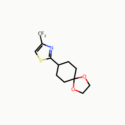 FC(F)(F)c1csc(C2CCC3(CC2)OCCO3)n1